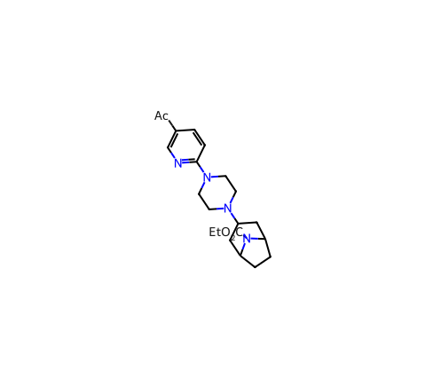 CCOC(=O)N1C2CCC1CC(N1CCN(c3ccc(C(C)=O)cn3)CC1)C2